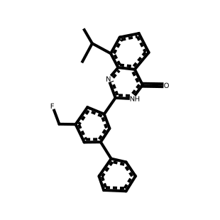 CC(C)c1cccc2c(=O)[nH]c(-c3cc(CF)cc(-c4ccccc4)c3)nc12